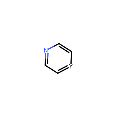 C1=[CH][Y]=[CH]C=N1